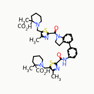 Cc1nc(C(=O)Nc2cccc(-c3cccc4c3CCN4C(=O)c3nc(C)c(CN4CCCC[C@]4(C)C(=O)O)s3)c2)sc1CN1CCCC[C@]1(C)C(=O)O